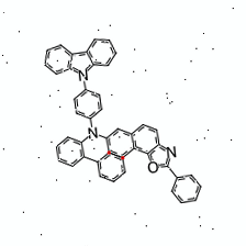 c1ccc(-c2nc3ccc4cc(N(c5ccc(-n6c7ccccc7c7ccccc76)cc5)c5ccccc5-c5ccccc5)ccc4c3o2)cc1